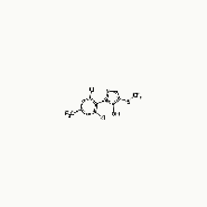 Oc1c(SC(F)(F)F)cnn1-c1c(Cl)cc(C(F)(F)F)cc1Cl